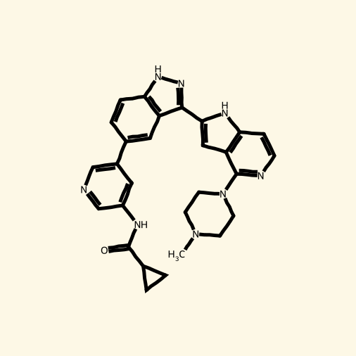 CN1CCN(c2nccc3[nH]c(-c4n[nH]c5ccc(-c6cncc(NC(=O)C7CC7)c6)cc45)cc23)CC1